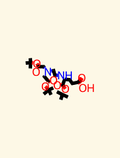 CC(C)(C)OC(=O)CN(CCNC(CCC(=O)O)C(=O)OC(C)(C)C)CC(=O)OC(C)(C)C